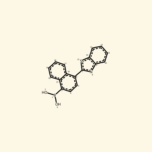 OB(O)c1ccc(-c2nc3ccccc3s2)c2ccccc12